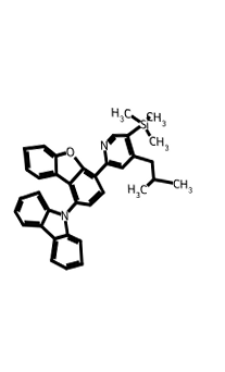 CC(C)Cc1cc(-c2ccc(-n3c4ccccc4c4ccccc43)c3c2oc2ccccc23)ncc1[Si](C)(C)C